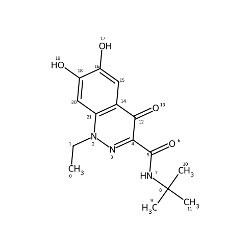 CCn1nc(C(=O)NC(C)(C)C)c(=O)c2cc(O)c(O)cc21